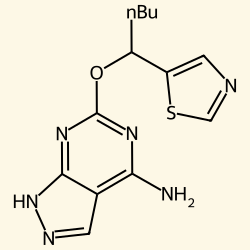 CCCCC(Oc1nc(N)c2cn[nH]c2n1)c1cncs1